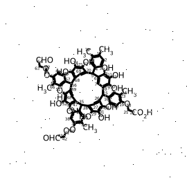 Cc1ccc(C2c3cc(c(O)c(O)c3O)C(c3ccc(OCC(=O)O)c(C)c3)c3cc(c(O)c(O)c3O)C(c3ccc(OOCC=O)c(C)c3)c3cc(c(O)c(O)c3O)C(c3ccc(OOCC=O)c(C)c3)c3cc2c(O)c(O)c3O)cc1C